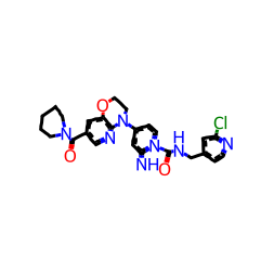 N=c1cc(N2CCOc3cc(C(=O)N4CCCCC4)cnc32)ccn1C(=O)NCc1ccnc(Cl)c1